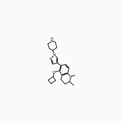 CC1CCc2c(ccc(-c3cnn(C4CCNCC4)c3)c2OC2CCC2)N1C